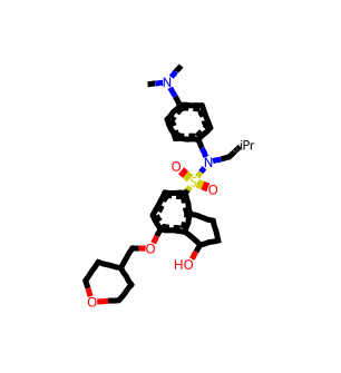 CC(C)CN(c1ccc(N(C)C)cc1)S(=O)(=O)c1ccc(OCC2CCOCC2)c2c1CCC2O